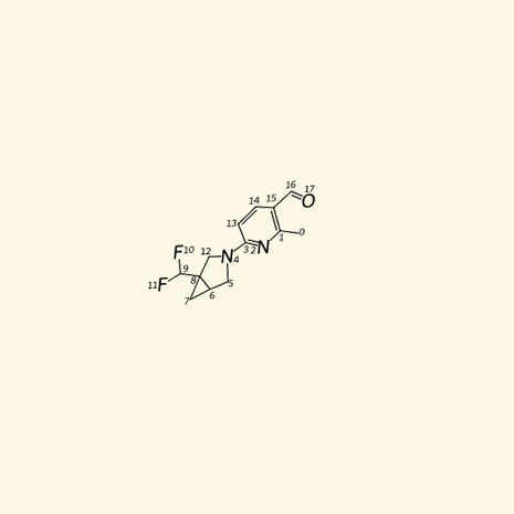 Cc1nc(N2CC3CC3(C(F)F)C2)ccc1C=O